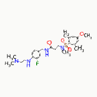 COc1cc(C)c(S(=O)(=O)N(C)CCC(=O)NCc2ccc(NCCN(C)C)c(F)c2)c(C)c1